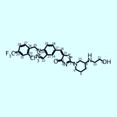 O=C1N=C(N2CCCC(NCCO)C2)SC1=Cc1ccc2c(cnn2Cc2ccc(C(F)(F)F)cc2C(F)(F)F)c1